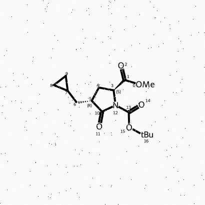 COC(=O)[C@@H]1C[C@@H](CC2CC2)C(=O)N1C(=O)OC(C)(C)C